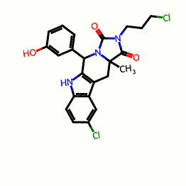 CC12Cc3c([nH]c4ccc(Cl)cc34)C(c3cccc(O)c3)N1C(=O)N(CCCCl)C2=O